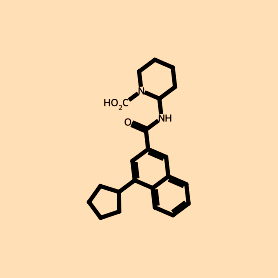 O=C(NC1CCCCN1C(=O)O)c1cc(C2CCCC2)c2ccccc2c1